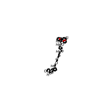 O=C1CCC(N2Cc3c(NCCOCCOCCOCCNC(=O)[C@H]4CC[C@H](NC(=O)[C@@H]5NC6(CCCCC6)[C@@]6(C(=O)Nc7cc(Cl)ccc76)[C@H]5c5cccc(F)c5)CC4)cccc3C2=O)C(=O)N1